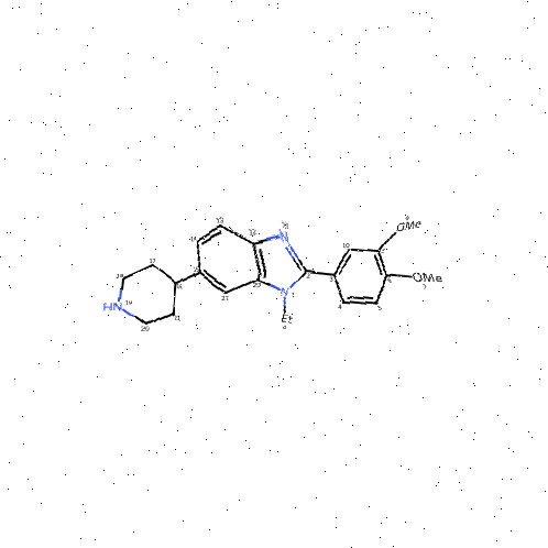 CCn1c(-c2ccc(OC)c(OC)c2)nc2ccc(C3CCNCC3)cc21